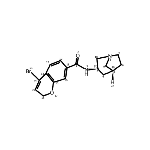 O=C(N[C@@H]1C[C@H]2CCN(C2)C1)c1ccc2c(c1)OCC=C2Br